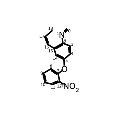 C=Nc1ccc(Oc2ccccc2[N+](=O)[O-])cc1/C=C\C